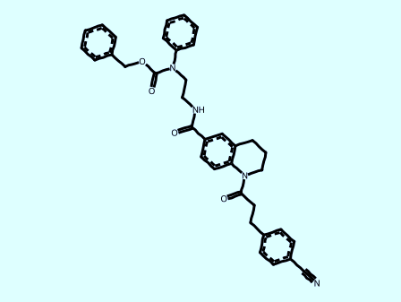 N#Cc1ccc(CCC(=O)N2CCCc3cc(C(=O)NCCN(C(=O)OCc4ccccc4)c4ccccc4)ccc32)cc1